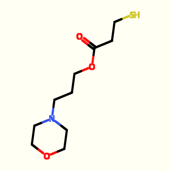 O=C(CCS)OCCCN1CCOCC1